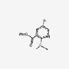 COC(=O)c1cc(Br)cnc1N(C)C